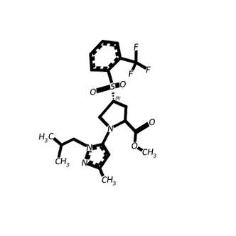 COC(=O)C1C[C@@H](S(=O)(=O)c2ccccc2C(F)(F)F)CN1c1cc(C)nn1CC(C)C